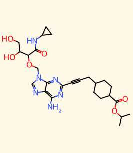 CC(C)OC(=O)C1CCC(CC#Cc2nc(N)c3ncn(COC(C(=O)NC4CC4)C(O)CO)c3n2)CC1